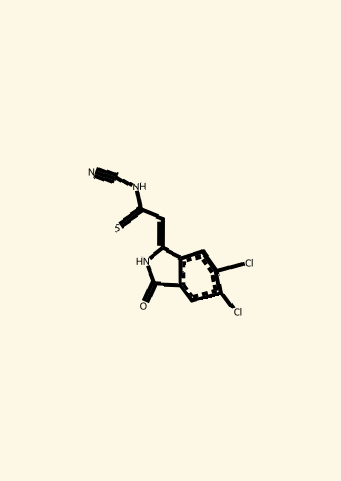 N#CNC(=S)C=C1NC(=O)c2cc(Cl)c(Cl)cc21